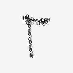 CCc1c2c(nc3ccc(OCc4ccc(NC(=O)[C@H](CCCNC(N)=O)NC(=O)[C@@H](NC(=O)CCOCCOCCOCCOCCOCCOCCOCCOCCOCCOCCOCCN=[N+]=[N-])C(C)C)cc4)cc13)-c1cc3c(c(=O)n1C2)COC(=O)[C@]3(O)CC